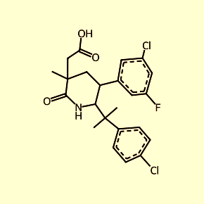 CC1(CC(=O)O)CC(c2cc(F)cc(Cl)c2)C(C(C)(C)c2ccc(Cl)cc2)NC1=O